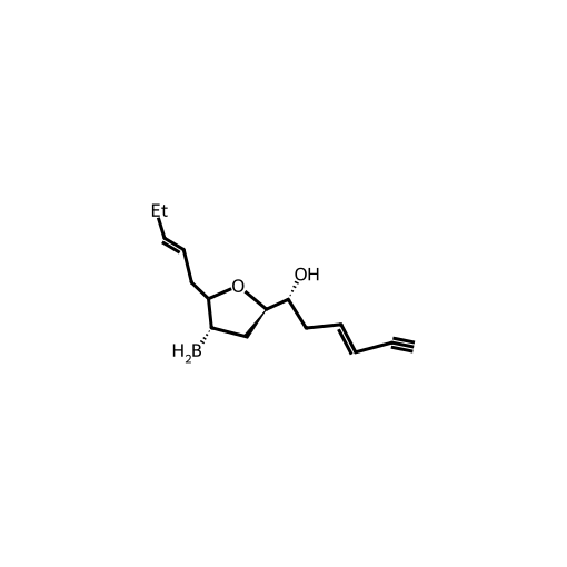 B[C@H]1C[C@H]([C@H](O)C/C=C/C#C)OC1C/C=C/CC